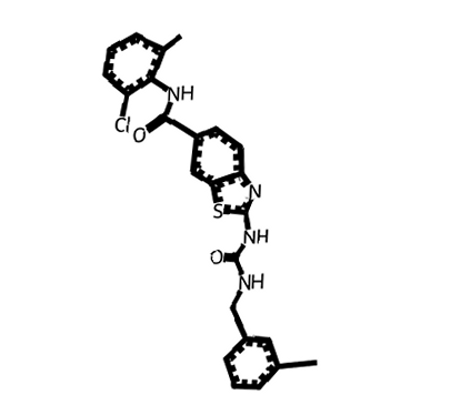 Cc1cccc(CNC(=O)Nc2nc3ccc(C(=O)Nc4c(C)cccc4Cl)cc3s2)c1